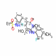 CCS(=O)(=O)Nc1cccc(Cc2cc(C(=O)O)c(Nc3ccc(C)cc3F)n(C)c2=O)c1F